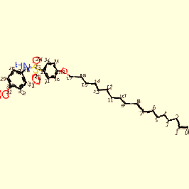 CCCCCCCCCCCCCCCCCCOc1ccc(S(=O)(=O)Nc2ccc(O)cc2)cc1